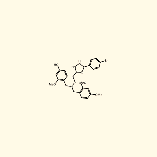 COc1ccc(CN(Cc2ccc(O)cc2OC)SCC2NNC(c3ccc(Br)cc3)O2)c(OC)c1